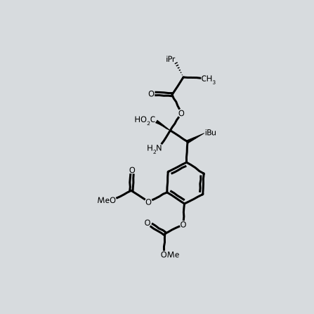 CC[C@H](C)C(c1ccc(OC(=O)OC)c(OC(=O)OC)c1)[C@](N)(OC(=O)[C@@H](C)C(C)C)C(=O)O